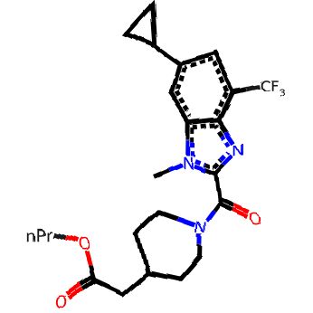 CCCOC(=O)CC1CCN(C(=O)c2nc3c(C(F)(F)F)cc(C4CC4)cc3n2C)CC1